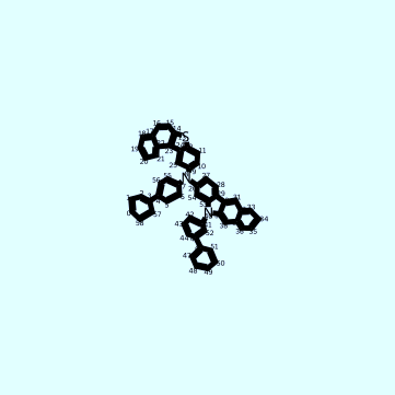 c1ccc(-c2ccc(N(c3ccc4sc5ccc6ccccc6c5c4c3)c3ccc4c5cc6ccccc6cc5n(-c5cccc(-c6ccccc6)c5)c4c3)cc2)cc1